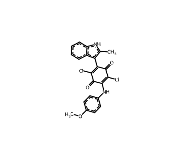 COc1ccc(NC2=C(Cl)C(=O)C(c3c(C)[nH]c4ccccc34)=C(Cl)C2=O)cc1